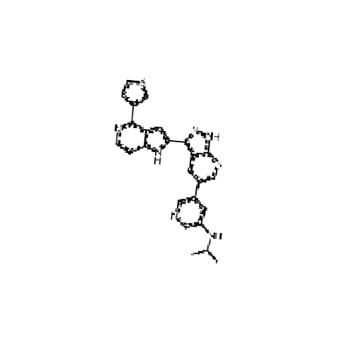 CC(C)Nc1cncc(-c2cnc3[nH]nc(-c4cc5c(-c6ccsc6)nccc5[nH]4)c3c2)c1